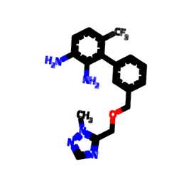 Cn1ncnc1COCc1cccc(-c2c(C(F)(F)F)ccc(N)c2N)c1